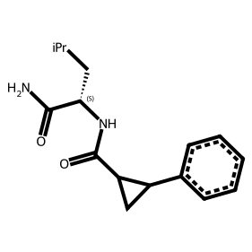 CC(C)C[C@H](NC(=O)C1CC1c1ccccc1)C(N)=O